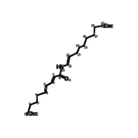 CCCCCCCCCCCCCC=CC=CC(=O)NC=CCCCCCCCCCCCCCCCC